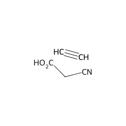 C#C.N#CCC(=O)O